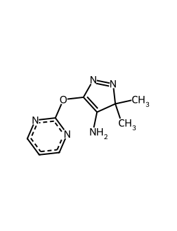 CC1(C)N=NC(Oc2ncccn2)=C1N